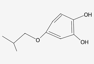 CC(C)COc1ccc(O)c(O)c1